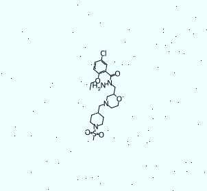 CCOc1ccc(Cl)cc1C(=O)N(N)CC1CN(CC2CCN(S(C)(=O)=O)CC2)CCO1